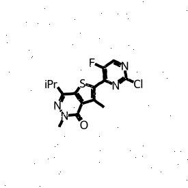 Cc1c(-c2nc(Cl)ncc2F)sc2c(C(C)C)nn(C)c(=O)c12